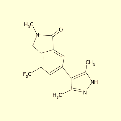 Cc1n[nH]c(C)c1-c1cc2c(c(C(F)(F)F)c1)CN(C)C2=O